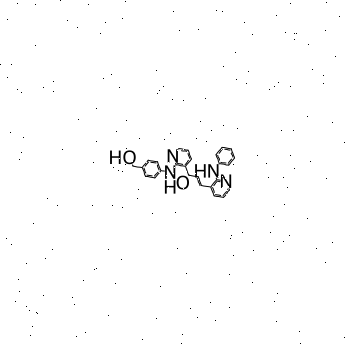 O=C(/C=C/c1cccnc1Nc1ccccc1)c1cccnc1Nc1ccc(CO)cc1